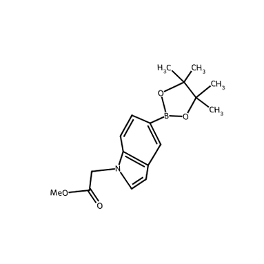 COC(=O)Cn1ccc2cc(B3OC(C)(C)C(C)(C)O3)ccc21